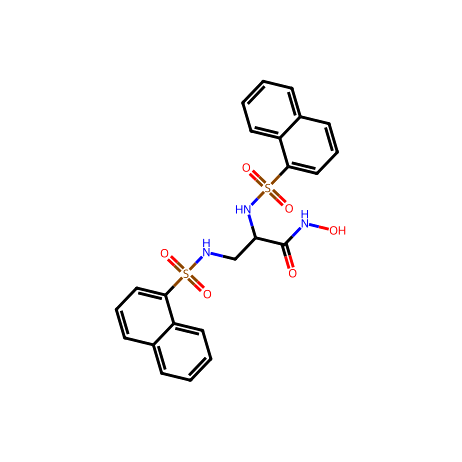 O=C(NO)C(CNS(=O)(=O)c1cccc2ccccc12)NS(=O)(=O)c1cccc2ccccc12